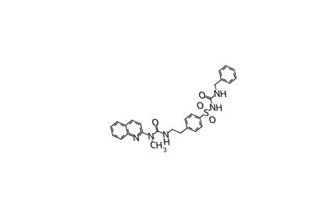 CN(C(=O)NCCc1ccc(S(=O)(=O)NC(=O)NCc2ccccc2)cc1)c1ccc2ccccc2n1